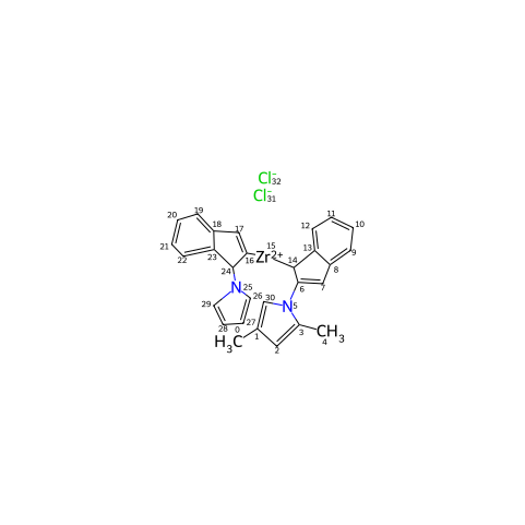 Cc1cc(C)n(C2=Cc3ccccc3[CH]2[Zr+2][C]2=Cc3ccccc3C2n2cccc2)c1.[Cl-].[Cl-]